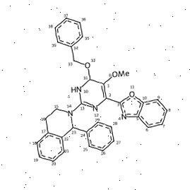 COC1=C(c2nc3ccccc3o2)N=C(N2CCc3ccccc3C2c2ccccc2)NC1OCc1ccccc1